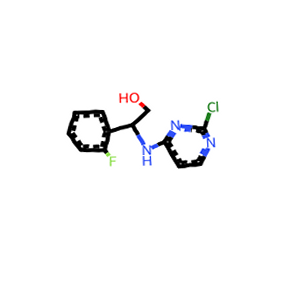 OCC(Nc1ccnc(Cl)n1)c1ccccc1F